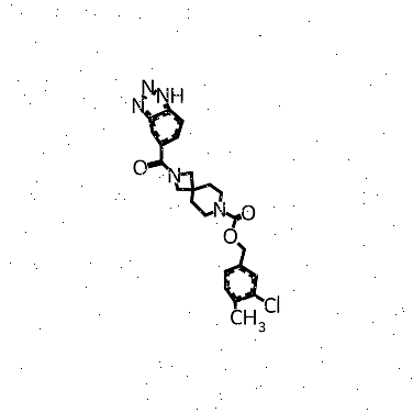 Cc1ccc(COC(=O)N2CCC3(CC2)CN(C(=O)c2ccc4[nH]nnc4c2)C3)cc1Cl